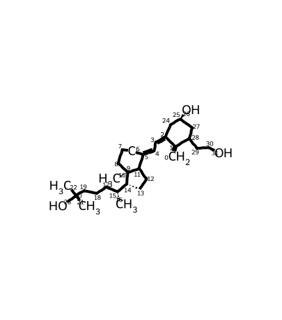 C=C1/C(=C\C=C2/CCC[C@@]3(C)C2CC[C@@H]3[C@H](C)CCCC(C)(C)O)C[C@@H](O)CC1CCO